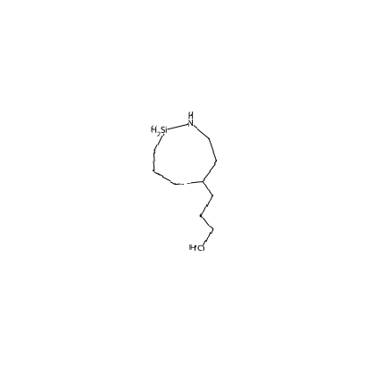 OCCCC1CCC[SiH2]NCC1